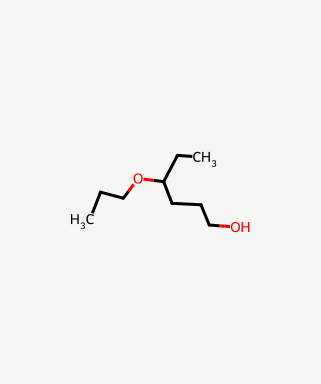 CCCOC(CC)CCCO